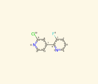 Fc1cccnc1-c1[c]c(Cl)ncc1